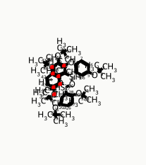 CC(C)(C)Oc1ccc(OC(C)(C)C)c([SiH](O[SiH](c2cc(OC(C)(C)C)ccc2OC(C)(C)C)c2cc(OC(C)(C)C)ccc2OC(C)(C)C)c2cc(OC(C)(C)C)ccc2OC(C)(C)C)c1